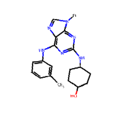 CCn1cnc2c(Nc3cccc(C(F)(F)F)c3)nc(NC3CCC(O)CC3)nc21